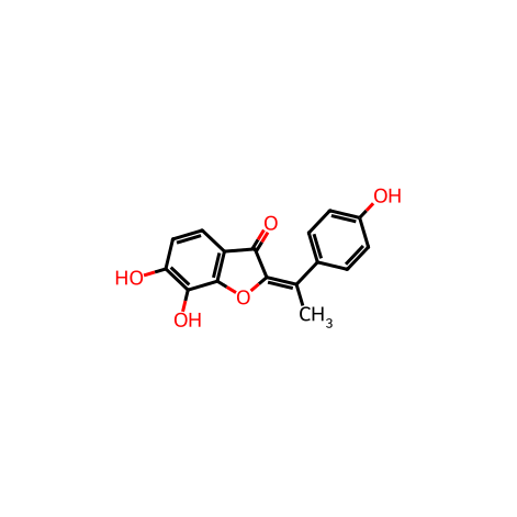 CC(=C1Oc2c(ccc(O)c2O)C1=O)c1ccc(O)cc1